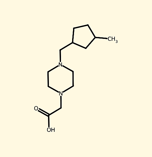 CC1CCC(CN2CCN(CC(=O)O)CC2)C1